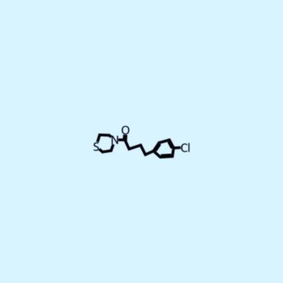 O=C(CCCc1ccc(Cl)cc1)N1CCSCC1